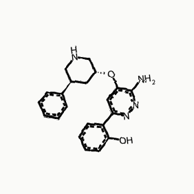 Nc1nnc(-c2ccccc2O)cc1O[C@H]1CNC[C@H](c2ccccc2)C1